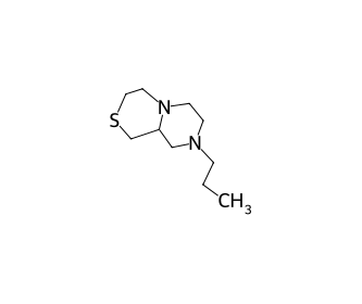 CCCN1CCN2CCSCC2C1